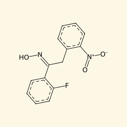 O=[N+]([O-])c1ccccc1CC(=NO)c1ccccc1F